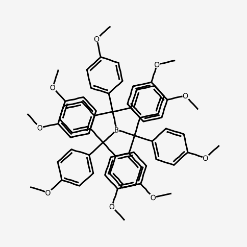 COc1ccc(C(B(C(c2ccc(OC)cc2)(c2ccc(OC)cc2)c2ccc(OC)cc2)C(c2ccc(OC)cc2)(c2ccc(OC)cc2)c2ccc(OC)cc2)(c2ccc(OC)cc2)c2ccc(OC)cc2)cc1